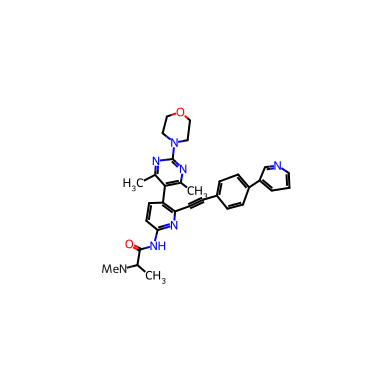 CNC(C)C(=O)Nc1ccc(-c2c(C)nc(N3CCOCC3)nc2C)c(C#Cc2ccc(-c3cccnc3)cc2)n1